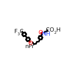 CCCC(CCCc1ccc(C(=O)NCCC(=O)O)cc1)COc1ccc(-c2ccc(C(F)(F)F)cc2)cc1